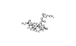 CCCC(C)OC(=O)OC1CC(=O)C=C2CC[C@H]3[C@@H]4CC[C@H](C(C)=O)[C@@]4(C)CC[C@@H]3[C@]21C